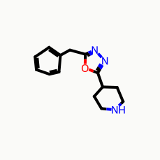 c1ccc(Cc2nnc(C3CCNCC3)o2)cc1